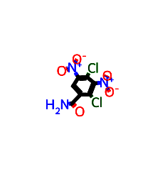 NC(=O)c1cc([N+](=O)[O-])c(Cl)c([N+](=O)[O-])c1Cl